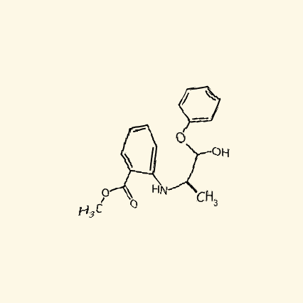 COC(=O)c1ccccc1NC(C)C(O)Oc1ccccc1